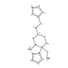 OCC1(n2ccnn2)OCC(OCc2cnco2)CC1O